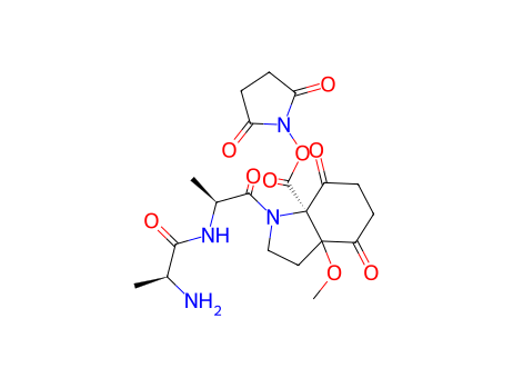 COC12CCN(C(=O)[C@H](C)NC(=O)[C@H](C)N)[C@@]1(C(=O)ON1C(=O)CCC1=O)C(=O)CCC2=O